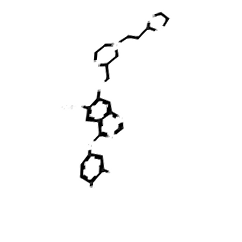 COc1cc2c(Nc3ccc(Cl)c(Cl)c3)ncnc2cc1OCC1CN(CCC2OCCO2)CCO1